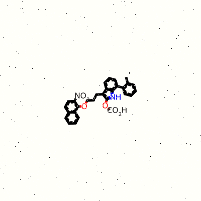 Cc1ccccc1-c1cccc2c(CCCOc3c([N+](=O)[O-])ccc4ccccc34)c(OC(=O)O)[nH]c12